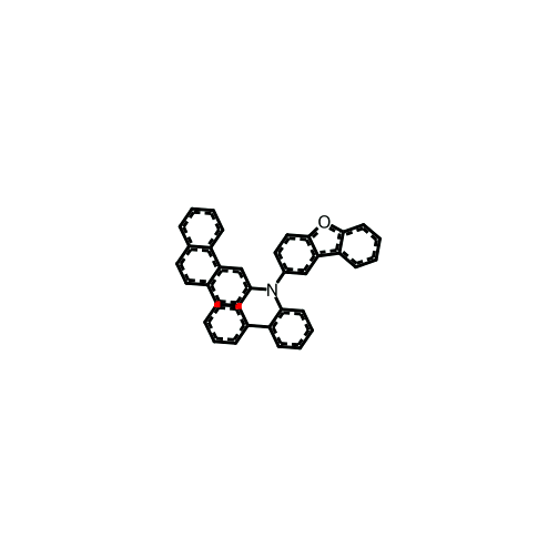 c1ccc(-c2ccccc2N(c2ccc3ccc4ccccc4c3c2)c2ccc3oc4ccccc4c3c2)cc1